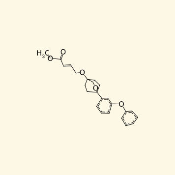 COC(=O)C=CCOC12CCC(c3cccc(Oc4ccccc4)c3)(CC1)OC2